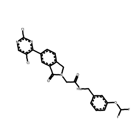 O=C(CN1Cc2ccc(-c3nc(Cl)ncc3Cl)cc2C1=O)NCc1cccc(OC(F)F)c1